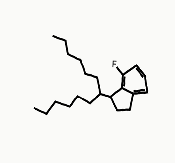 CCCCCCC(CCCCCC)C1CCc2cccc(F)c21